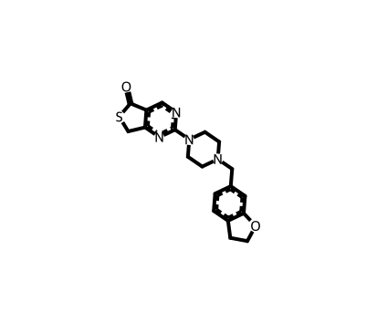 O=C1SCc2nc(N3CCN(Cc4ccc5c(c4)OCC5)CC3)ncc21